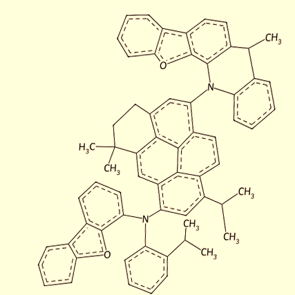 CC(C)c1ccccc1N(c1cc(C(C)C)c2ccc3c(N4c5ccccc5C(C)c5ccc6c(oc7ccccc76)c54)cc4c5c(cc1c2c35)C(C)(C)CC4)c1cccc2c1oc1ccccc12